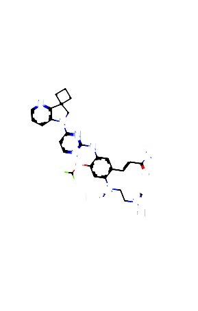 CN(C)CCN(C)c1cc(OC(F)F)c(Nc2nccc(N3CC4(CCC4)c4ncccc43)n2)cc1C=CC(N)=O